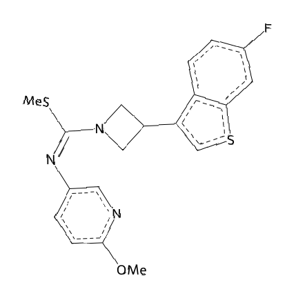 COc1ccc(/N=C(/SC)N2CC(c3csc4cc(F)ccc34)C2)cn1